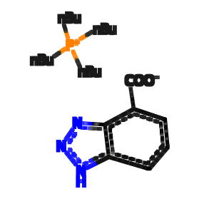 CCCC[P+](CCCC)(CCCC)CCCC.O=C([O-])c1cccc2[nH]nnc12